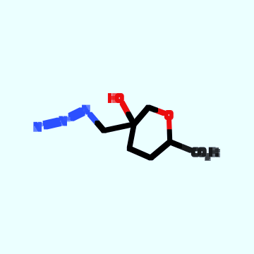 CCOC(=O)C1CCC(O)(CN=[N+]=[N-])CO1